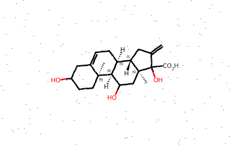 C=C1C[C@H]2[C@@H]3CC=C4CC(O)CC[C@]4(C)[C@@H]3C(O)C[C@]2(C)C1(O)C(=O)O